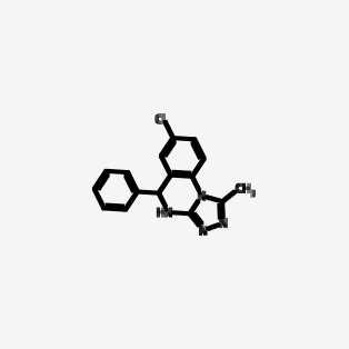 Cc1nnc2n1-c1ccc(Cl)cc1C(c1ccccc1)N2